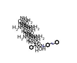 N=C(N)NC(NC(=O)C(NC(=N)N)NC(=O)C(NC(=N)N)NC(=O)C(NC(=N)N)NC(=O)C(NC(=O)C(O)/N=C/c1ccc(/C=C/c2ccccc2)cc1)c1ccccc1)C(=O)NC(N)C(N)=O